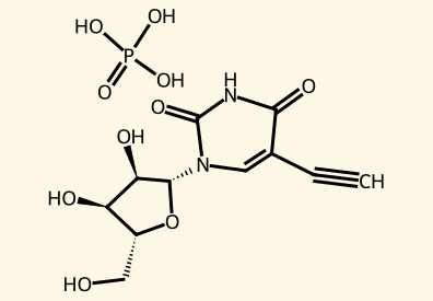 C#Cc1cn([C@@H]2O[C@H](CO)[C@@H](O)[C@H]2O)c(=O)[nH]c1=O.O=P(O)(O)O